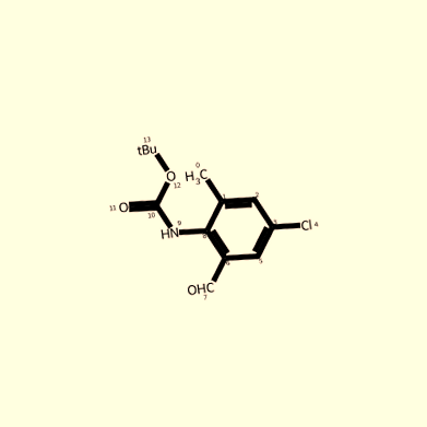 Cc1cc(Cl)cc(C=O)c1NC(=O)OC(C)(C)C